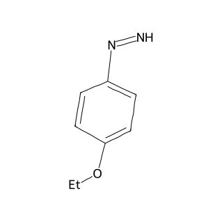 CCOc1ccc(N=N)cc1